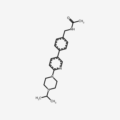 CC(=O)NCc1ccc(-c2ccc(N3CCN(C(C)C)CC3)nc2)cc1